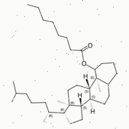 CCCCCCCC(=O)OC1CCCC2CC[C@@H]3[C@H](CC[C@]4(C)[C@@H]([C@H](C)CCCC(C)C)CC[C@@H]34)[C@]21C